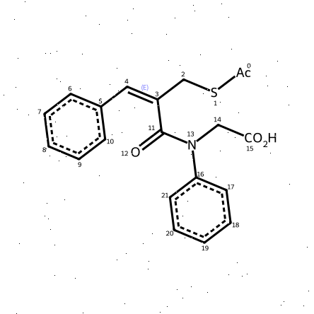 CC(=O)SC/C(=C/c1ccccc1)C(=O)N(CC(=O)O)c1ccccc1